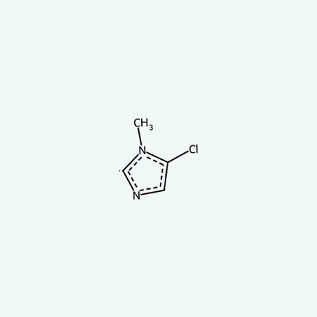 Cn1[c]ncc1Cl